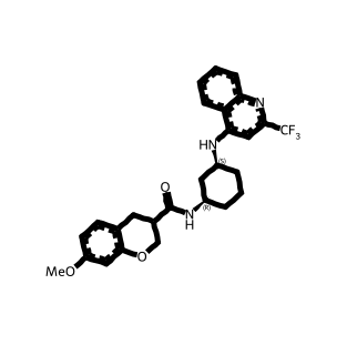 COc1ccc2c(c1)OCC(C(=O)N[C@@H]1CCC[C@H](Nc3cc(C(F)(F)F)nc4ccccc34)C1)C2